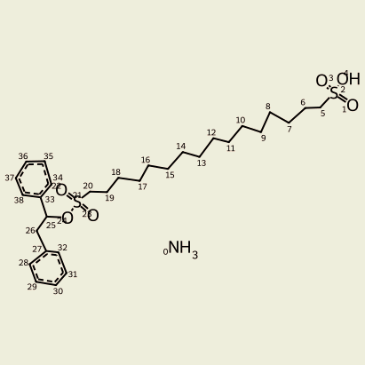 N.O=S(=O)(O)CCCCCCCCCCCCCCCCS(=O)(=O)OC(Cc1ccccc1)c1ccccc1